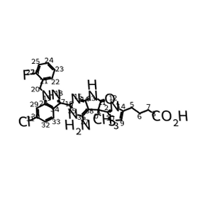 CC1(c2nc(CCCC(=O)O)cs2)C(=O)Nc2nc(-c3nn(Cc4ccccc4F)c4cc(Cl)ccc34)nc(N)c21